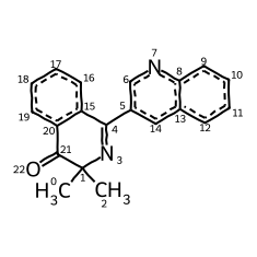 CC1(C)N=C(c2cnc3ccccc3c2)c2ccccc2C1=O